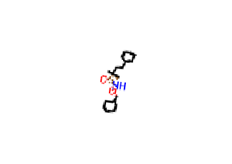 CC(C)(CCc1ccccc1)[S+]([O-])NOCc1ccccc1